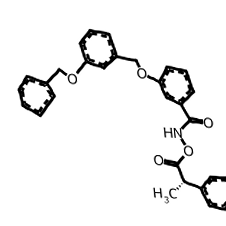 C[C@H](C(=O)ONC(=O)c1cccc(OCc2cccc(OCc3ccccc3)c2)c1)c1ccccc1